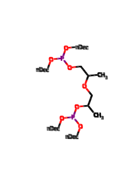 CCCCCCCCCCOP(OCCCCCCCCCC)OCC(C)OCC(C)OP(OCCCCCCCCCC)OCCCCCCCCCC